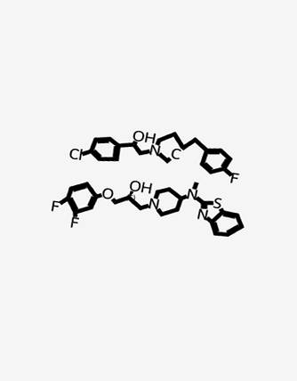 CN(c1nc2ccccc2s1)C1CCN(C[C@H](O)COc2ccc(F)c(F)c2)CC1.OC(CN1CCC(Cc2ccc(F)cc2)CC1)c1ccc(Cl)cc1